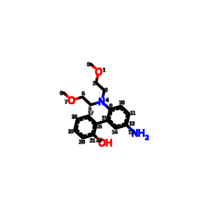 COCCN(CCOC)c1ccc(N)cc1-c1ccccc1O